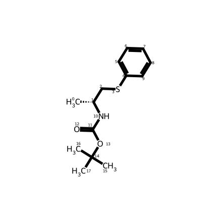 C[C@H](CSc1ccccc1)NC(=O)OC(C)(C)C